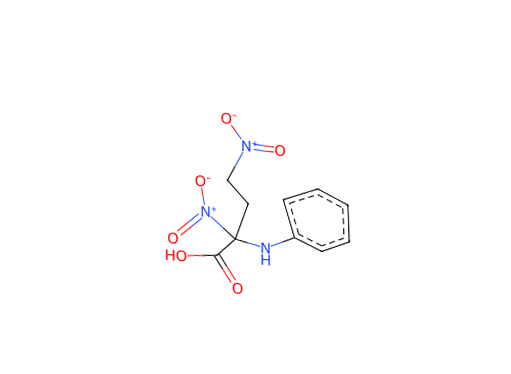 O=C(O)C(CC[N+](=O)[O-])(Nc1ccccc1)[N+](=O)[O-]